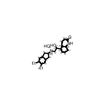 CCc1cc2c(cc1CC)CC(NCC(O)c1cccc3[nH]c(=O)ccc13)C2.Cl